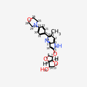 Cc1cc2[nH]c(O[C@@H]3CO[C@H]4[C@@H]3OC[C@H]4O)cc2nc1-c1ccc(N2CCOCC2)cc1